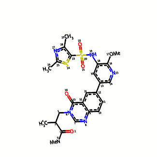 CNC(=O)C(C)Cn1cnc2ccc(-c3cnc(OC)c(NS(=O)(=O)c4sc(C)nc4C)c3)cc2c1=O